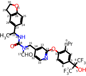 CCCc1cc(C(O)(C(F)(F)F)C(F)(F)F)ccc1Oc1cc(CN(C=O)C(=O)NC(C)c2ccc3c(c2)CCO3)ccn1